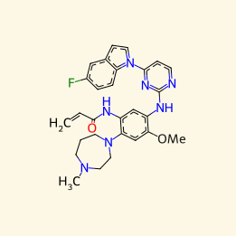 C=CC(=O)Nc1cc(Nc2nccc(-n3ccc4cc(F)ccc43)n2)c(OC)cc1N1CCCN(C)CC1